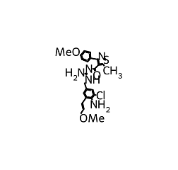 COC/C=C/c1cc(CN/C(N)=N\C(=O)c2c(-c3ccc(OC)cc3)nsc2C)cc(Cl)c1N